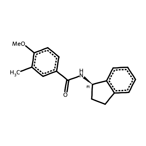 COc1ccc(C(=O)N[C@@H]2CCc3ccccc32)cc1C